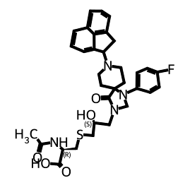 CC(=O)N[C@@H](CSC[C@@H](O)CN1CN(c2ccc(F)cc2)C2(CCN(C3Cc4cccc5cccc3c45)CC2)C1=O)C(=O)O